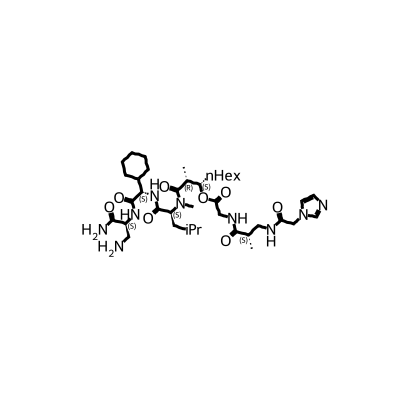 CCCCCC[C@H](OC(=O)CNC(=O)[C@@H](C)CNC(=O)Cn1ccnc1)[C@@H](C)C(=O)N(C)[C@@H](CC(C)C)C(=O)N[C@H](C(=O)N[C@@H](CN)C(N)=O)C1CCCCC1